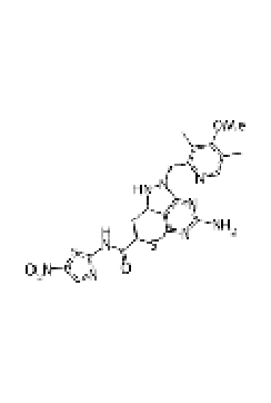 COc1c(C)cnc(CN2NC3CC(C(=O)Nc4ncc([N+](=O)[O-])s4)Sc4nc(N)nc2c43)c1C